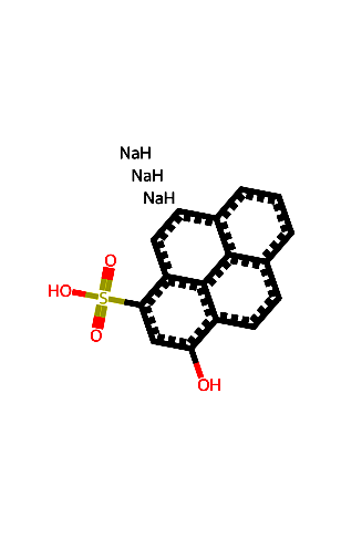 O=S(=O)(O)c1cc(O)c2ccc3cccc4ccc1c2c34.[NaH].[NaH].[NaH]